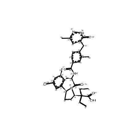 CCC(CC)(C(=O)O)[C@H]1CC[C@@H](c2cc(F)cc(Cl)c2)N1C(=O)[C@@H](C)NC(=O)c1ccc(Cc2cc(C)n[nH]c2=O)c(C)c1